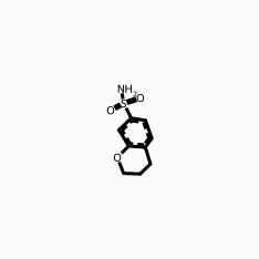 NS(=O)(=O)c1ccc2c(c1)OCCC2